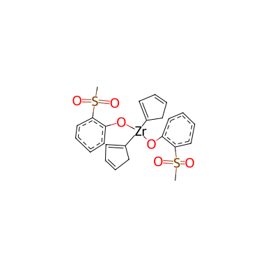 CS(=O)(=O)c1ccccc1[O][Zr]([O]c1ccccc1S(C)(=O)=O)([C]1=CC=CC1)[C]1=CC=CC1